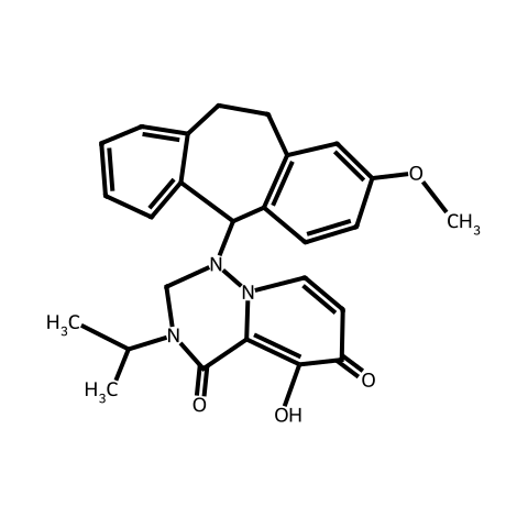 COc1ccc2c(c1)CCc1ccccc1C2N1CN(C(C)C)C(=O)c2c(O)c(=O)ccn21